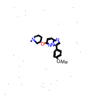 COc1ccc(-c2cnc3ccc(OC4CCCN(C)C4)nn23)cc1